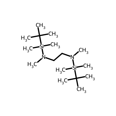 CN(CCN(C)[Si](C)(C)C(C)(C)C)[Si](C)(C)C(C)(C)C